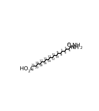 NNC(=O)CCCCCCCCCCCCCCCCCCC(=O)O